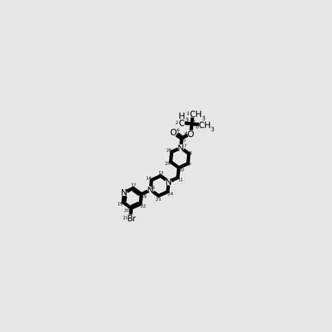 CC(C)(C)OC(=O)N1CCC(CN2CCN(c3cncc(Br)c3)CC2)CC1